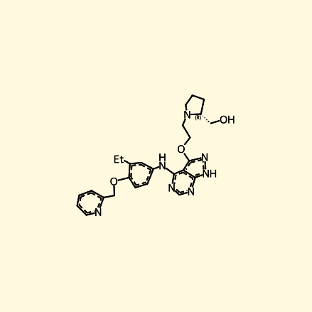 CCc1cc(Nc2ncnc3[nH]nc(OCCN4CCC[C@@H]4CO)c23)ccc1OCc1ccccn1